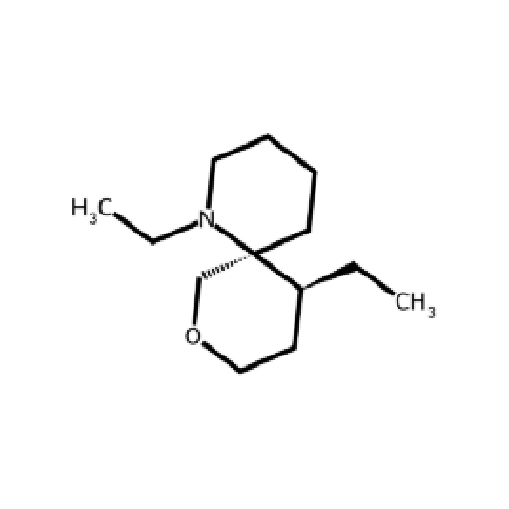 CC[C@H]1CCOC[C@]12CCCCN2CC